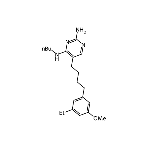 CCCCNc1nc(N)ncc1CCCCc1cc(CC)cc(OC)c1